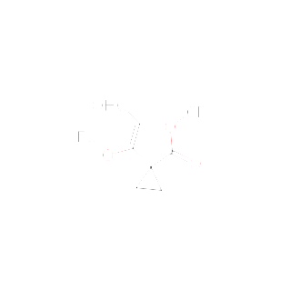 CCOC(=CC=O)C1(C(=O)OC(F)(F)F)CC1